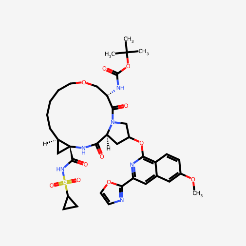 COc1ccc2c(OC3C[C@H]4C(=O)N[C@]5(C(=O)NS(=O)(=O)C6CC6)C[C@H]5CCCCCOC[C@H](NC(=O)OC(C)(C)C)C(=O)N4C3)nc(-c3ncco3)cc2c1